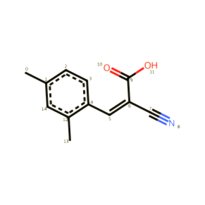 Cc1ccc(C=C(C#N)C(=O)O)c(C)c1